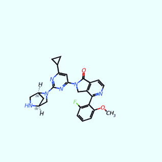 COc1cccc(F)c1-c1nccc2c1CN(c1cc(C3CC3)nc(N3C[C@@H]4C[C@H]3CN4)n1)C2=O